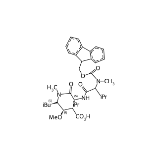 CC[C@H](C)C([C@@H](CC(=O)O)OC)N(C)C(=O)[C@@H](NC(=O)C(C(C)C)N(C)C(=O)OCC1c2ccccc2-c2ccccc21)C(C)C